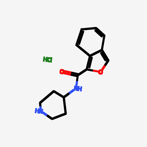 Cl.O=C(NC1CCNCC1)c1occ2ccccc12